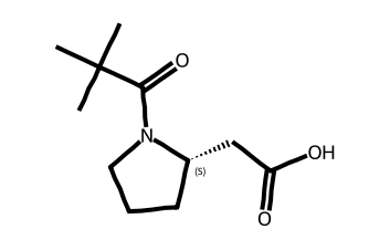 CC(C)(C)C(=O)N1CCC[C@H]1CC(=O)O